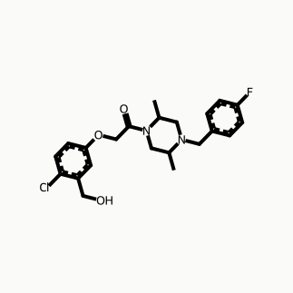 CC1CN(C(=O)COc2ccc(Cl)c(CO)c2)C(C)CN1Cc1ccc(F)cc1